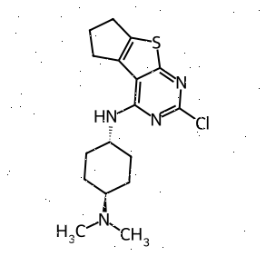 CN(C)[C@H]1CC[C@H](Nc2nc(Cl)nc3sc4c(c23)CCC4)CC1